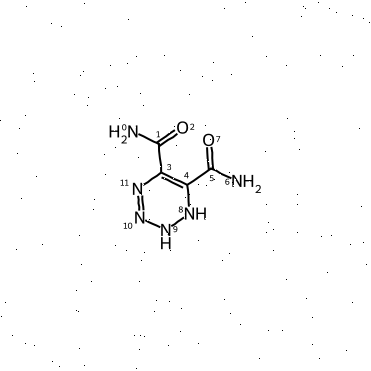 NC(=O)C1=C(C(N)=O)NNN=N1